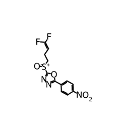 O=[N+]([O-])c1ccc(-c2nnc([S+]([O-])CCC=C(F)F)o2)cc1